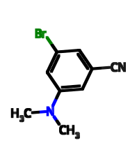 CN(C)c1cc(Br)cc(C#N)c1